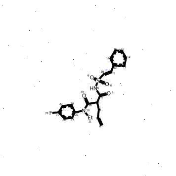 C=CCC(C(=O)NS(=O)(=O)/C=C/c1ccccc1)C(=O)N(CC)c1ccc(F)cc1